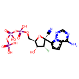 N#C[C@@]1(c2ccc3c(N)ncnn23)O[C@H](COP(=O)(O)OP(=O)(O)OP(=O)(O)O)[C@@H](O)[C@H]1F